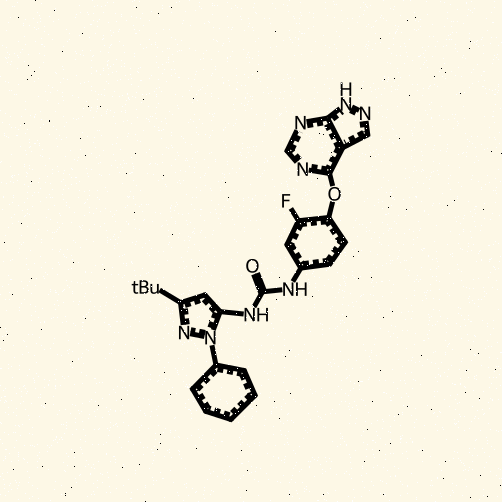 CC(C)(C)c1cc(NC(=O)Nc2ccc(Oc3ncnc4[nH]ncc34)c(F)c2)n(-c2ccccc2)n1